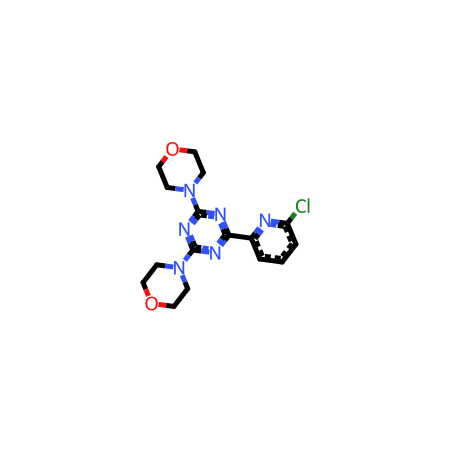 Clc1cccc(-c2nc(N3CCOCC3)nc(N3CCOCC3)n2)n1